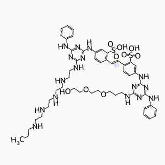 CCCNCCNCCNCCNCCNc1nc(Nc2ccccc2)nc(Nc2ccc(/C=C/c3ccc(Nc4nc(NCCCOCCOCCO)nc(Nc5ccccc5)n4)cc3S(=O)(=O)O)c(S(=O)(=O)O)c2)n1